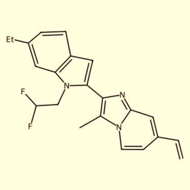 C=Cc1ccn2c(C)c(-c3cc4ccc(CC)cc4n3CC(F)F)nc2c1